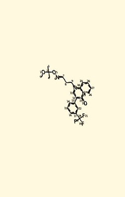 COC(C)(C)O/N=C/CCn1cc(-c2cccc(C(F)(F)F)c2)c(=O)[n+]2ccccc12